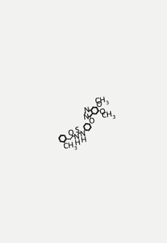 COc1cc2ncnc(Oc3ccc(NC(=S)NC(=O)Cc4ccccc4C)cc3)c2cc1OC